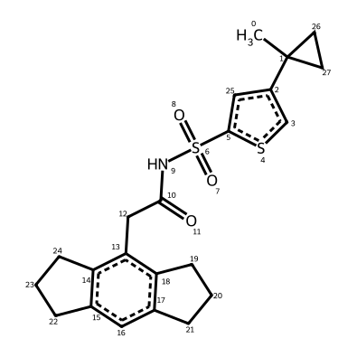 CC1(c2csc(S(=O)(=O)NC(=O)Cc3c4c(cc5c3CCC5)CCC4)c2)CC1